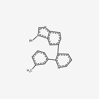 Cc1cccc(-c2ncccc2-c2ccc3ncn(C(C)C)c3c2)c1